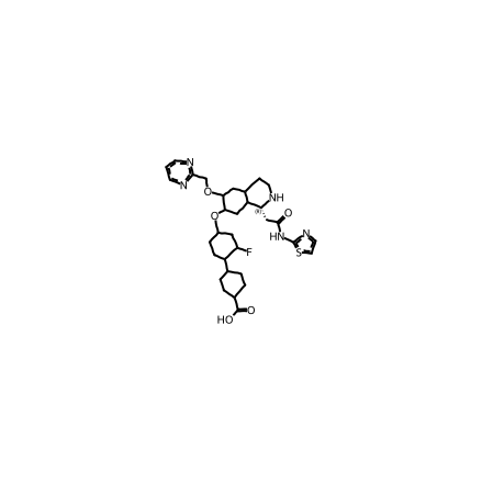 O=C(C[C@H]1NCCC2CC(OCc3ncccn3)C(OC3CCC(C4CCC(C(=O)O)CC4)C(F)C3)CC21)Nc1nccs1